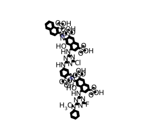 CN(c1ccccc1)c1nc(F)nc(Nc2cc(S(=O)(=O)O)cc3cc(S(=O)(=O)O)c(/N=N/c4cc(Nc5nc(Cl)nc(Nc6cc(S(=O)(=O)O)cc7cc(S(=O)(=O)O)c(/N=N/c8ccc9ccccc9c8S(=O)(=O)O)c(O)c67)n5)ccc4S(=O)(=O)O)c(O)c23)n1